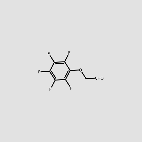 O=CCOc1c(F)c(F)c(F)c(F)c1F